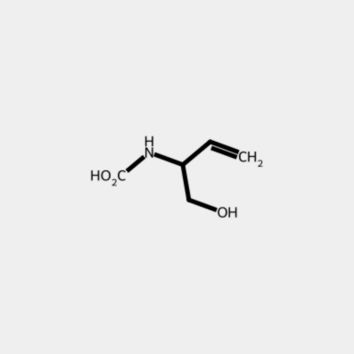 C=CC(CO)NC(=O)O